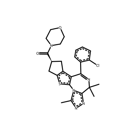 Cc1nnc2n1-c1sc3c(c1C(c1ccccc1Cl)=NC2(C)C)C[C@H](C(=O)N1CCOCC1)C3